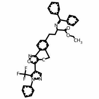 CCOC(=O)C(CCc1ccc2c(c1)CCc1c-2noc1-c1cnn(-c2ccccc2)c1C(F)(F)F)N=C(c1ccccc1)c1ccccc1